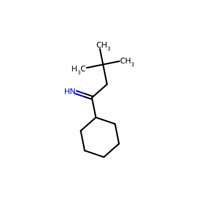 CC(C)(C)CC(=N)C1CCCCC1